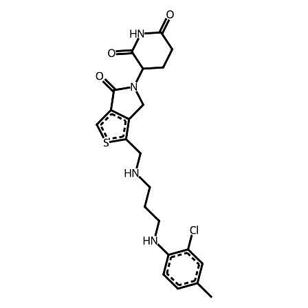 Cc1ccc(NCCCNCc2scc3c2CN(C2CCC(=O)NC2=O)C3=O)c(Cl)c1